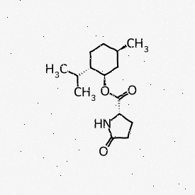 CC(C)[C@@H]1CC[C@@H](C)C[C@H]1OC(=O)[C@@H]1CCC(=O)N1